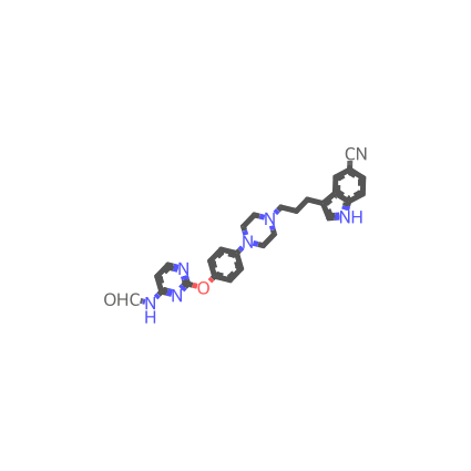 N#Cc1ccc2[nH]cc(CCCN3CCN(c4ccc(Oc5nccc(NC=O)n5)cc4)CC3)c2c1